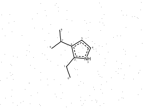 CCc1[nH]ccc1C(C)C